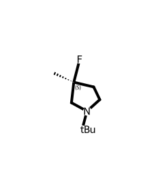 CC(C)(C)N1CC[C@](C)(F)C1